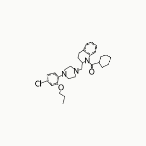 CCCOc1cc(Cl)ccc1N1CCN(CC2CCc3ccccc3N2C(=O)C2CCCCC2)CC1